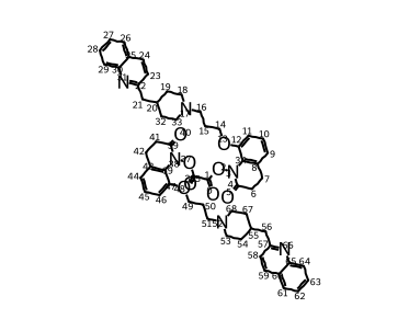 O=C(ON1C(=O)CCc2cccc(OCCCN3CCC(Cc4ccc5ccccc5n4)CC3)c21)C(=O)ON1C(=O)CCc2cccc(OCCCN3CCC(Cc4ccc5ccccc5n4)CC3)c21